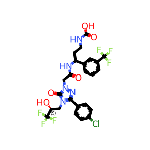 O=C(O)NCCC(NC(=O)Cn1nc(-c2ccc(Cl)cc2)n(C[C@H](O)C(F)(F)F)c1=O)c1cccc(C(F)(F)F)c1